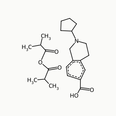 CC(C)C(=O)OC(=O)C(C)C.O=C(O)c1ccc2c(c1)CCN(C1CCCC1)C2